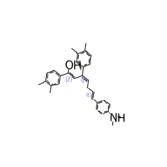 CNc1ccc(/C=C/C/C=C(\C=C(/O)c2ccc(C)c(C)c2)c2ccc(C)c(C)c2)cc1